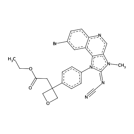 CCOC(=O)CC1(c2ccc(-n3/c(=N\C#N)n(C)c4cnc5ccc(Br)cc5c43)cc2)COC1